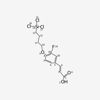 O=C(O)/C=C/c1ccc(OCCCC[Si](Cl)(Cl)Cl)c(F)c1